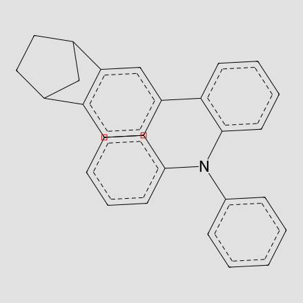 c1ccc(N(c2ccccc2)c2ccccc2-c2ccc3c(c2)C2CCC3C2)cc1